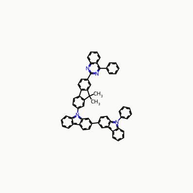 CC1(C)c2cc(-c3nc(-c4ccccc4)c4ccccc4n3)ccc2-c2ccc(-n3c4ccccc4c4ccc(-c5ccc6c(c5)c5ccccc5n6-c5ccccc5)cc43)cc21